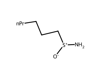 CCCCCC[S+](N)[O-]